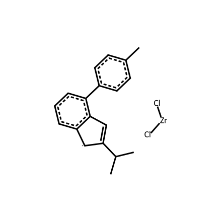 Cc1ccc(-c2cccc3c2C=C(C(C)C)[CH]3)cc1.[Cl][Zr][Cl]